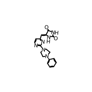 O=C1NC(=O)C(=Cc2ccnc(N3CCN(c4ccccc4)CC3)n2)N1